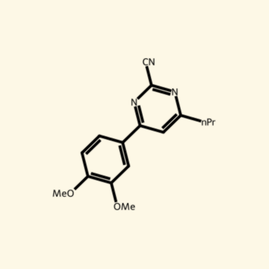 CCCc1cc(-c2ccc(OC)c(OC)c2)nc(C#N)n1